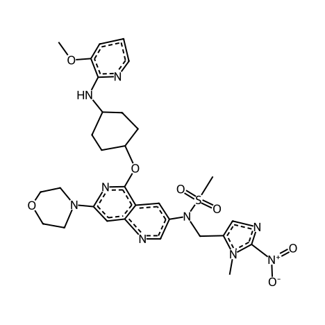 COc1cccnc1NC1CCC(Oc2nc(N3CCOCC3)cc3ncc(N(Cc4cnc([N+](=O)[O-])n4C)S(C)(=O)=O)cc23)CC1